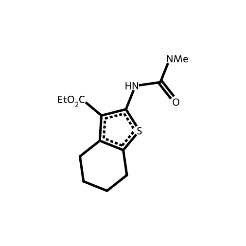 CCOC(=O)c1c(NC(=O)NC)sc2c1CCCC2